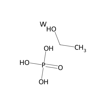 CCO.O=P(O)(O)O.[W]